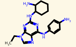 CCn1cnc2c(Nc3ccc(N)cc3)nc(NC3CCCCC3N)nc21